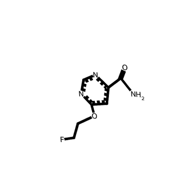 NC(=O)c1cc(OCCF)ncn1